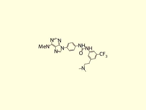 CNc1ncnc2c1ncn2-c1ccc(NC(=O)Nc2cc(CCN(C)C)cc(C(F)(F)F)c2)cc1